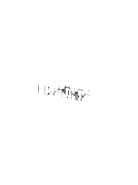 CCNCCC(=N)/C=C\Nc1ccc(F)cn1